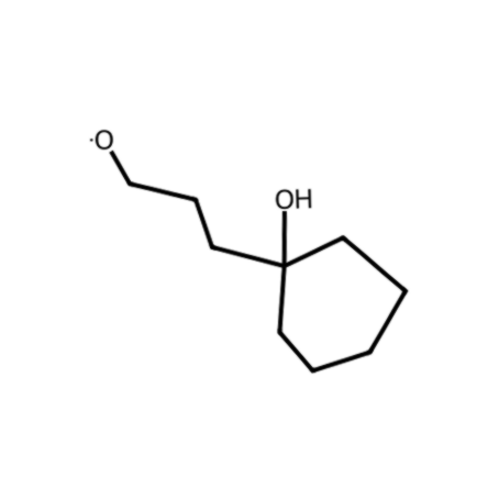 [O]CCCC1(O)CCCCC1